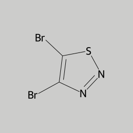 Brc1nnsc1Br